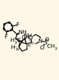 CC1(C)[C@H]2CC[C@]1([C@H]1CN(S(C)(=O)=O)CCO1)C(=N)/C2=C\C(=N)c1c(F)cccc1F